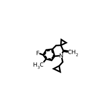 C=C1N(CC2CC2)c2cc(C)c(F)cc2CC12CC2